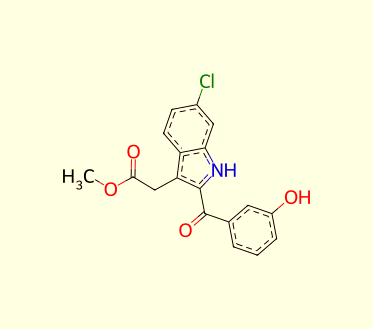 COC(=O)Cc1c(C(=O)c2cccc(O)c2)[nH]c2cc(Cl)ccc12